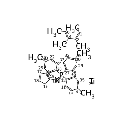 CC=C(C)C(C)=CC.Cc1ccc(P(=NC2=CC=CC2)(c2ccc(C)cc2)c2ccc(C)cc2)cc1.[Ti]